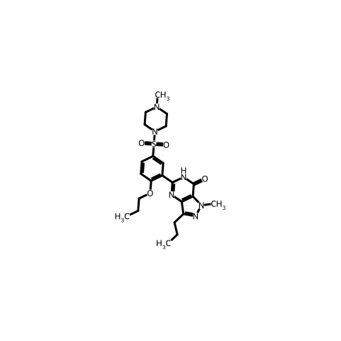 CCCOc1ccc(S(=O)(=O)N2CCN(C)CC2)cc1-c1nc2c(CCC)nn(C)c2c(=O)[nH]1